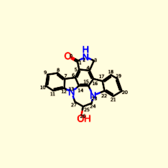 O=C1NCc2c1c1c3ccccc3n3c1c1c2c2ccccc2n1CC(O)C3